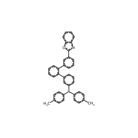 Cc1ccc(N(c2ccc(C)cc2)c2cccc(-c3ccccc3-c3cccc(-c4nc5ccccc5o4)c3)c2)cc1